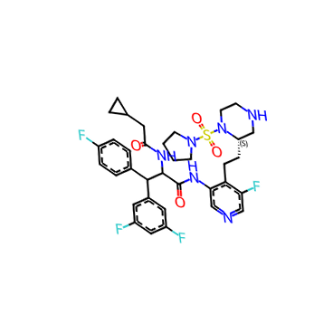 O=C(CC1CC1)NC(C(=O)Nc1cncc(F)c1CC[C@H]1CNCCN1S(=O)(=O)N1CCCC1)C(c1ccc(F)cc1)c1cc(F)cc(F)c1